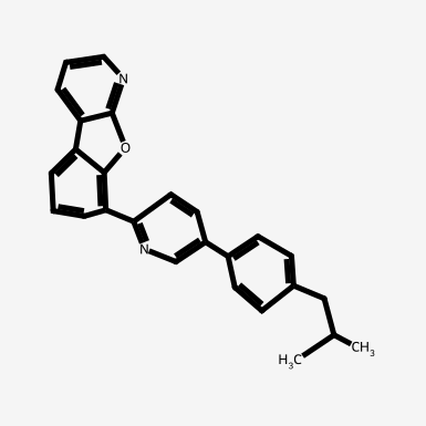 CC(C)Cc1ccc(-c2ccc(-c3cccc4c3oc3ncccc34)nc2)cc1